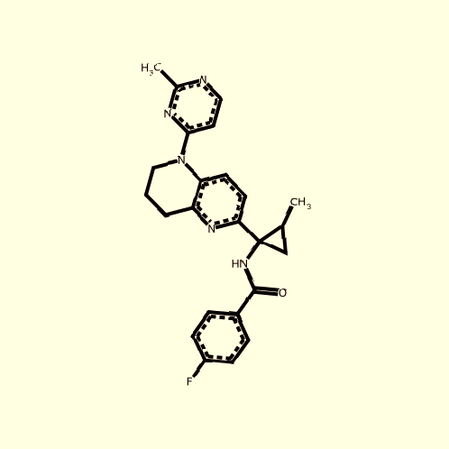 Cc1nccc(N2CCCc3nc(C4(NC(=O)c5ccc(F)cc5)CC4C)ccc32)n1